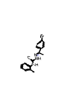 C/C(=N\NC(=O)Nc1ccccc1C)c1ccc(Br)cc1